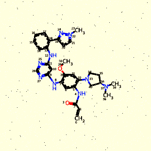 C=CC(=O)Nc1cc(Nc2cc(Nc3ccccc3-c3ccn(C)n3)ncn2)c(OC)cc1N1CC[C@@H](N(C)C)C1